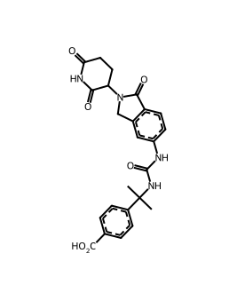 CC(C)(NC(=O)Nc1ccc2c(c1)CN(C1CCC(=O)NC1=O)C2=O)c1ccc(C(=O)O)cc1